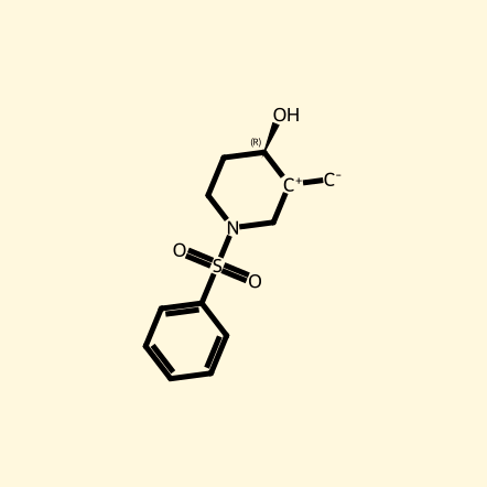 [CH2-][C+]1CN(S(=O)(=O)c2ccccc2)CC[C@H]1O